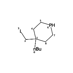 CCCCC1(CI)CCPCC1